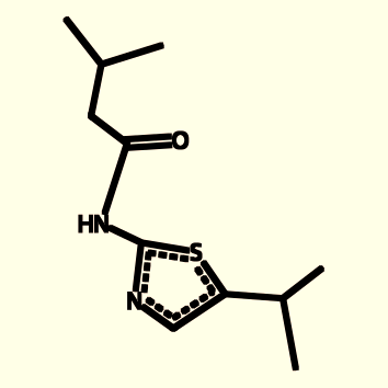 CC(C)CC(=O)Nc1ncc(C(C)C)s1